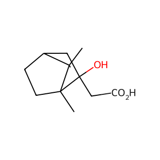 CC1(C)C2CCC1(C)C(O)(CC(=O)O)C2